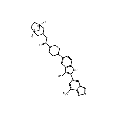 Cc1cc(-c2[nH]c3ccc(C4CCN(C(=O)CN5C[C@@H]6CC[C@@H](C6)C5)CC4)cc3c2C(C)C)cn2nnnc12